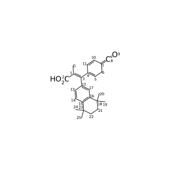 C/C(C(=O)O)=C(\C1=CCC(=C=O)C=C1)c1ccc2c(c1)C(C)(C)CCC2(C)C